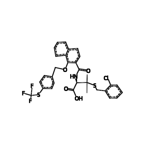 CC(C)(SCc1ccccc1Cl)[C@H](NC(=O)c1ccc2ccccc2c1OCc1ccc(SC(F)(F)F)cc1)C(=O)O